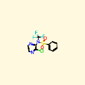 O=S(=O)(c1ccccc1)N(c1nccnc1Cl)C(F)(F)F